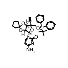 C#C[C@]1(CO[Si](c2ccccc2)(c2ccccc2)C(C)(C)C)O[C@@H](n2ccc(N)nc2=O)[C@@H]2OC3(CCCC3)O[C@@H]21